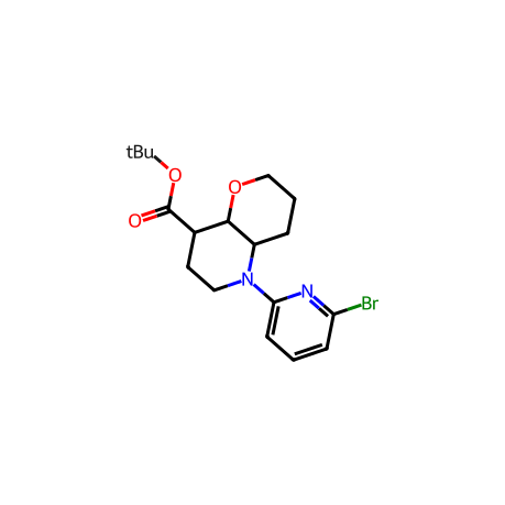 CC(C)(C)OC(=O)C1CCN(c2cccc(Br)n2)C2CCCOC12